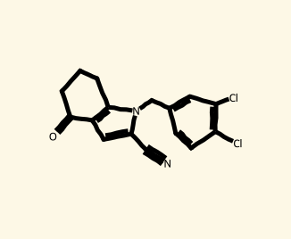 N#Cc1cc2c(n1Cc1ccc(Cl)c(Cl)c1)CCCC2=O